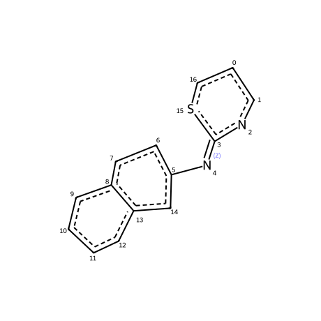 c1cn/c(=N/c2ccc3ccccc3c2)sc1